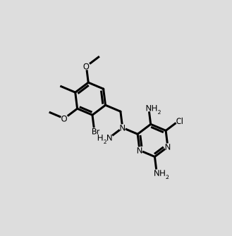 COc1cc(CN(N)c2nc(N)nc(Cl)c2N)c(Br)c(OC)c1C